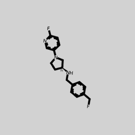 FCc1ccc(CN[C@H]2CCN(c3ccc(F)nc3)C2)cc1